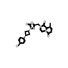 Cc1ccc(=O)n2ccn(Cc3nn([C@H]4C[C@H](c5ccc(Cl)cc5)C4)c(=O)o3)c(=O)c12